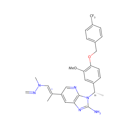 C=NN(C)/C=C(\C)c1cnc2c(c1)nc(N)n2[C@@H](C)c1ccc(OCc2ccc(C(F)(F)F)cc2)c(OC)c1